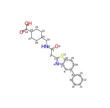 O=C(Cc1nc2cc(-c3ccccc3)ccc2s1)NCC1CCC(C(=O)O)CC1